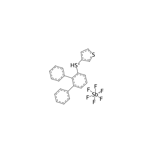 [F][Sb-]([F])([F])([F])([F])[F].c1ccc(-c2cccc([SH+]c3ccsc3)c2-c2ccccc2)cc1